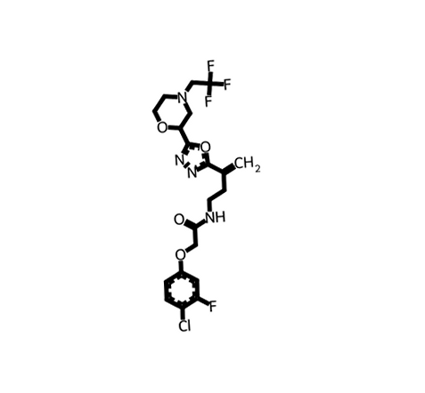 C=C(CCNC(=O)COc1ccc(Cl)c(F)c1)c1nnc(C2CN(CC(F)(F)F)CCO2)o1